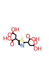 O=C(O)CC(C(=O)O)c1cnc(C(CC(=O)O)C(=O)O)s1